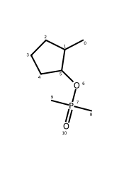 CC1CCCC1OP(C)(C)=O